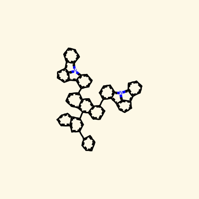 c1ccc(-c2cc(-c3c4cccc(-c5cccc6c5c5cccc7c8ccccc8n6c75)c4cc4c(-c5cccc6c5c5cccc7c8ccccc8n6c75)cccc34)c3ccccc3c2)cc1